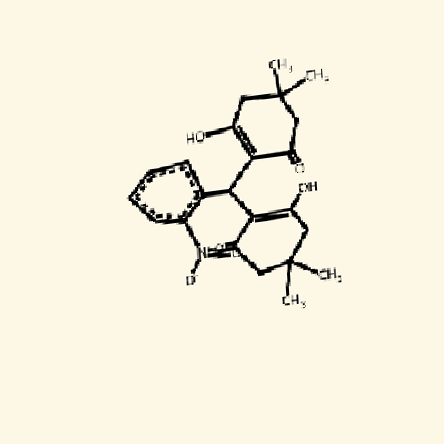 CC1(C)CC(=O)C(C(C2=C(O)CC(C)(C)CC2=O)c2ccccc2[N+](=O)[O-])=C(O)C1